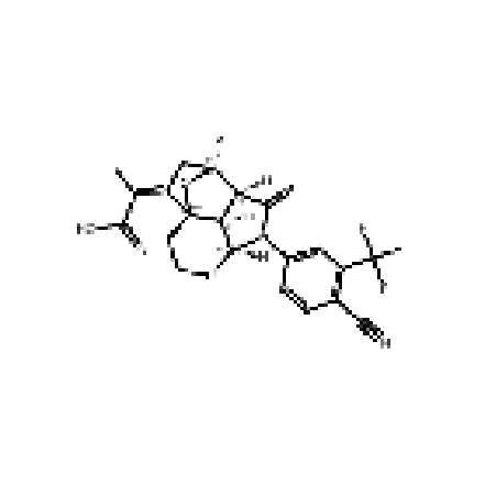 CC(C(=O)O)=C1C[C@]2(C)O[C@@]13CCO[C@H]1[C@@H]3[C@@H]2C(=O)N1c1ccc(C#N)c(C(F)(F)F)c1